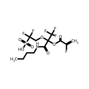 C=C(F)C(=O)OC(OCC(F)(F)S(=O)(=O)O)(C(=O)NCCCC)C(F)(F)F